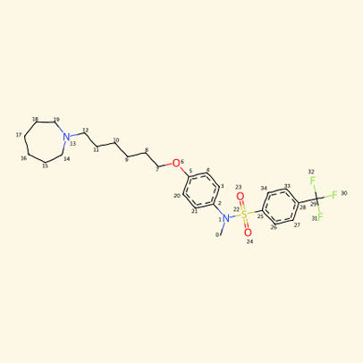 CN(c1ccc(OCCCCCCN2CCCCCC2)cc1)S(=O)(=O)c1ccc(C(F)(F)F)cc1